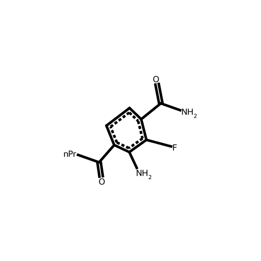 CCCC(=O)c1ccc(C(N)=O)c(F)c1N